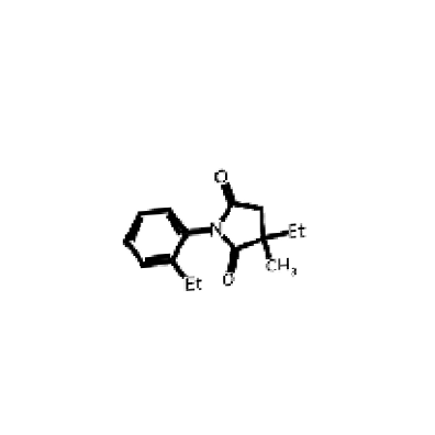 CCc1ccccc1N1C(=O)CC(C)(CC)C1=O